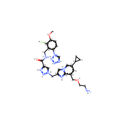 COc1ccc(-n2cnnn2)c(CNC(=O)c2cn(Cc3cn4cc(C5CC5)cc(COCCN)c4n3)nn2)c1F